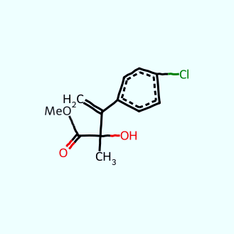 C=C(c1ccc(Cl)cc1)C(C)(O)C(=O)OC